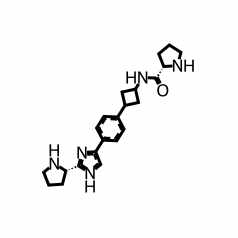 O=C(NC1CC(c2ccc(-c3c[nH]c([C@@H]4CCCN4)n3)cc2)C1)[C@@H]1CCCN1